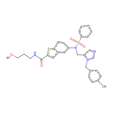 CC(C)OCCCNC(=O)c1cc2cc(N(Cc3cncn3Cc3ccc(C#N)cc3)S(=O)(=O)c3ccccc3)ccc2s1